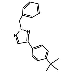 CC(C)(C)c1ccc(-c2cnn(Cc3ccccc3)n2)cc1